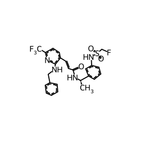 C[C@@H](NC(=O)C=Cc1ccc(C(F)(F)F)nc1NCc1ccccc1)c1cccc(NS(=O)(=O)CF)c1